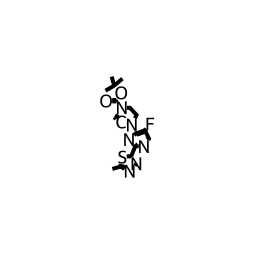 Cc1nnc(-c2ncc(F)c(N3CCN(C(=O)OC(C)(C)C)CC3)n2)s1